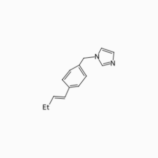 CC/C=C/c1ccc(Cn2ccnc2)cc1